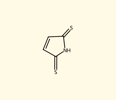 S=C1C=CC(=S)N1